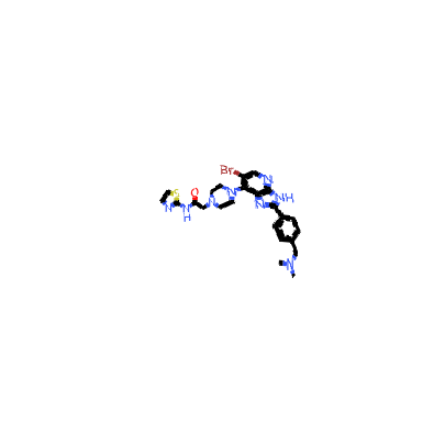 CN(C)Cc1ccc(-c2nc3c(N4CCN(CC(=O)Nc5nccs5)CC4)c(Br)cnc3[nH]2)cc1